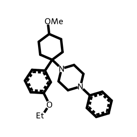 CCOc1cccc(C2(N3CCN(c4ccccc4)CC3)CCC(OC)CC2)c1